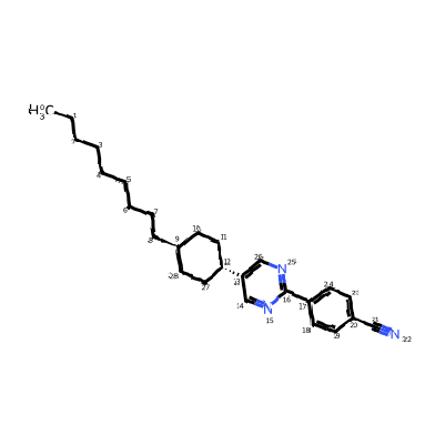 CCCCCCCCC[C@H]1CC[C@H](c2cnc(-c3ccc(C#N)cc3)nc2)CC1